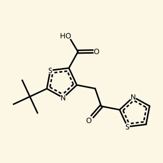 CC(C)(C)c1nc(CC(=O)c2nccs2)c(C(=O)O)s1